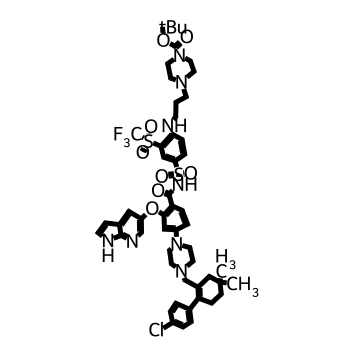 CC1(C)CCC(c2ccc(Cl)cc2)=C(CN2CCN(c3ccc(C(=O)NS(=O)(=O)c4ccc(NCCCN5CCN(C(=O)OC(C)(C)C)CC5)c(S(=O)(=O)C(F)(F)F)c4)c(Oc4cnc5[nH]ccc5c4)c3)CC2)C1